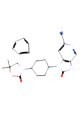 CC1(C)OC(=O)N(C2CCC(n3c(=O)[nH]c4cnc(C#N)cc43)CC2)[C@H]1c1ccccc1